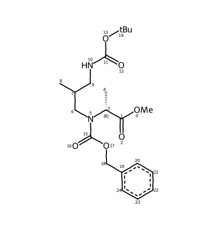 COC(=O)[C@@H](C)N(CC(C)CNC(=O)OC(C)(C)C)C(=O)OCc1ccccc1